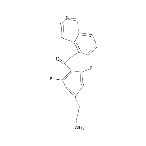 NCCc1cc(F)c(C(=O)c2cccc3cnccc23)c(F)c1